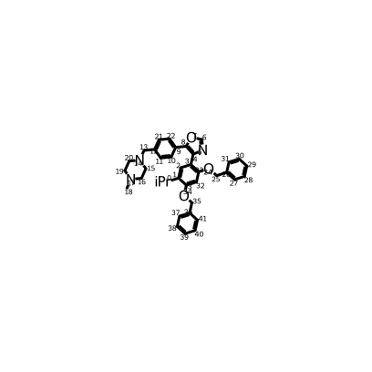 CC(C)c1cc(-c2ncoc2-c2ccc(CN3CCN(C)CC3)cc2)c(OCc2ccccc2)cc1OCc1ccccc1